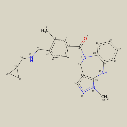 Cc1cc(C(=O)N2Cc3cnn(C)c3Nc3ccccc32)ccc1CNCC1CC1